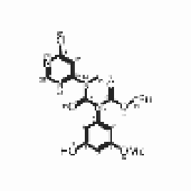 COc1cc(O)cc(N(C(=O)OC(C)(C)C)C(=O)N(C)c2cc(Cl)ncn2)c1